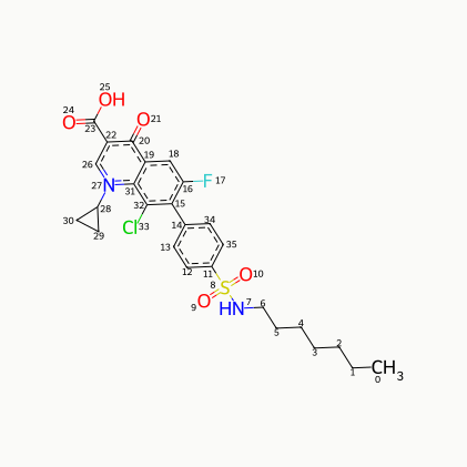 CCCCCCCNS(=O)(=O)c1ccc(-c2c(F)cc3c(=O)c(C(=O)O)cn(C4CC4)c3c2Cl)cc1